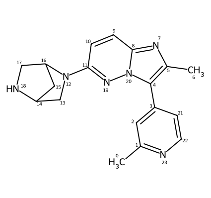 Cc1cc(-c2c(C)nc3ccc(N4CC5CC4CN5)nn23)ccn1